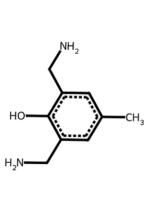 Cc1cc(CN)c(O)c(CN)c1